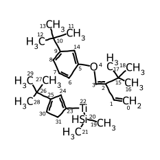 C=CC(=COc1cccc(C(C)(C)C)c1)C(C)(C)C.C[SiH](C)[Ti][C]1=CC(C(C)(C)C)=CC1